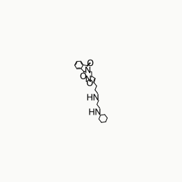 O=C1c2ccccc2C(=O)N1Cc1cc(CCCNCCCNC2CCCCC2)on1